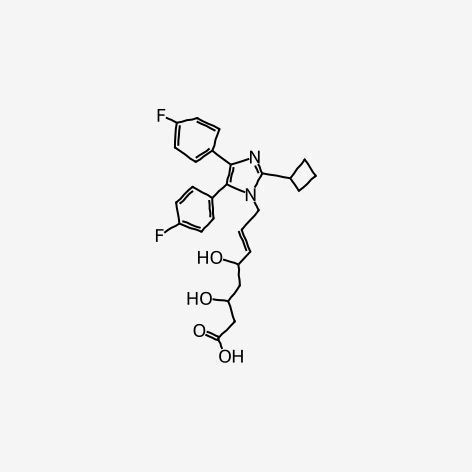 O=C(O)CC(O)CC(O)C=CCn1c(C2CCC2)nc(-c2ccc(F)cc2)c1-c1ccc(F)cc1